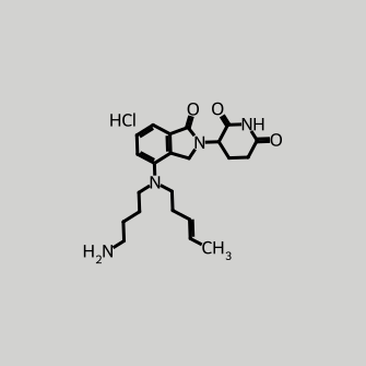 C/C=C/CCN(CCCCN)c1cccc2c1CN(C1CCC(=O)NC1=O)C2=O.Cl